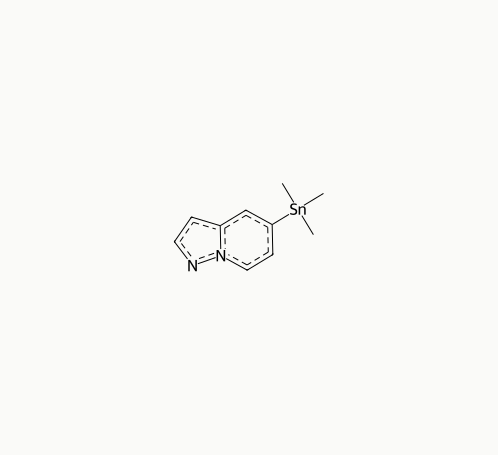 [CH3][Sn]([CH3])([CH3])[c]1ccn2nccc2c1